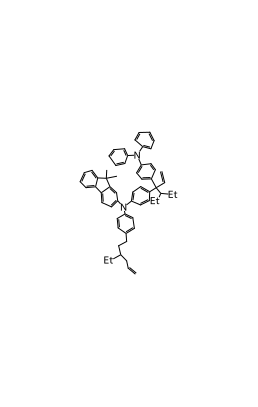 C=CCC(CC)CCc1ccc(N(c2ccc(C(C=C)(c3ccc(N(c4ccccc4)c4ccccc4)cc3)C(CC)CC)cc2)c2ccc3c(c2)C(C)(C)c2ccccc2-3)cc1